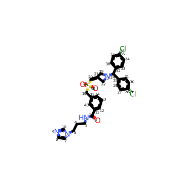 O=C(NCCCn1ccnc1)c1cccc(CS(=O)(=O)C=C2CN(C(c3ccc(Cl)cc3)c3ccc(Cl)cc3)C2)c1